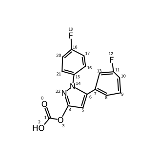 O=C(O)Oc1cc(-c2cccc(F)c2)n(-c2ccc(F)cc2)n1